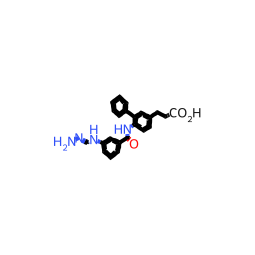 NN=CNc1cccc(C(=O)Nc2ccc(CCC(=O)O)cc2-c2ccccc2)c1